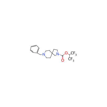 O=C(OC(C(F)(F)F)C(F)(F)F)N1CCC2(CCN(Cc3ccccc3)CC2)C1